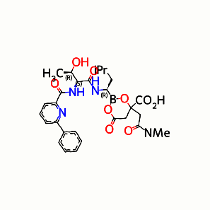 CNC(=O)CC1(C(=O)O)CC(=O)OB([C@H](CC(C)C)NC(=O)[C@@H](NC(=O)c2cccc(-c3ccccc3)n2)[C@@H](C)O)O1